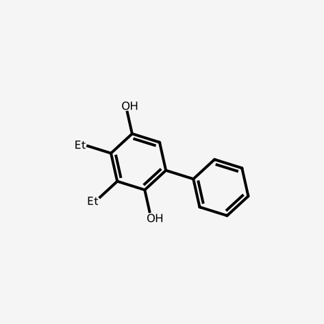 CCc1c(O)cc(-c2ccccc2)c(O)c1CC